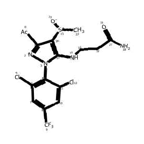 CC(=O)c1nn(-c2c(Cl)cc(C(F)(F)F)cc2Cl)c(NCCC(N)=O)c1[S+](C)[O-]